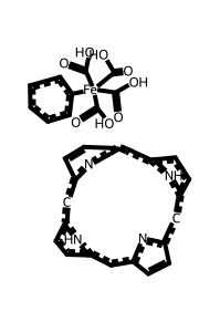 C1=Cc2cc3ccc(cc4nc(cc5ccc(cc1n2)[nH]5)C=C4)[nH]3.O=[C](O)[Fe]([C](=O)O)([C](=O)O)([C](=O)O)[c]1ccccc1